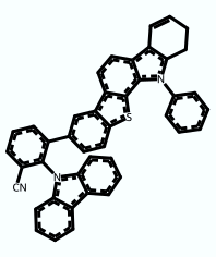 N#Cc1cccc(-c2ccc3sc4c(ccc5c6c(n(-c7ccccc7)c54)CCC=C6)c3c2)c1-n1c2ccccc2c2ccccc21